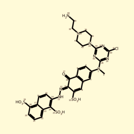 CN(c1ccc2c(c1)C=C(S(=O)(=O)O)/C(=N\Nc1ccc3c(S(=O)(=O)O)cccc3c1S(=O)(=O)O)C2=O)c1nc(Cl)nc(N2CCN(CCN)CC2)n1